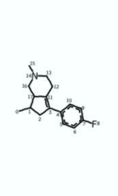 CC1CC(c2ccc(F)cc2)=C2CCN(C)CC21